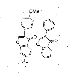 COc1ccc(-c2coc3cc(O)ccc3c2=O)cc1.O=c1c(-c2ccccc2)coc2ccccc12